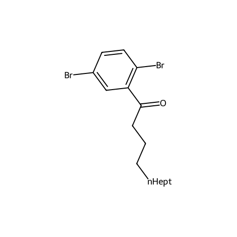 CCCCCCCCCCC(=O)c1cc(Br)ccc1Br